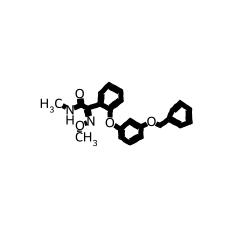 CNC(=O)C(=NOC)c1ccccc1Oc1cccc(OCc2ccccc2)c1